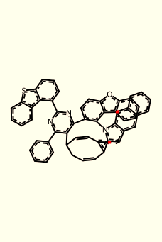 C1=C\c2c3ccc4c5cc6ccccc6cc5n(c24)-c2c(ccc4oc5ccccc5c24)-c2nc(-c4cccc5sc6ccccc6c45)nc(-c4ccccc4)c2C(/C=C\3)C/1